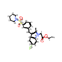 CCOC(=O)Cn1c(C)c(Cc2cccc(S(=O)(=O)N3CCCCC3)c2)c2cc(F)ccc21